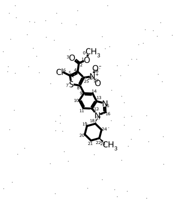 COC(=O)c1c(Cl)sc(-c2ccc3c(c2)ncn3[C@H]2CCC[C@H](C)C2)c1[N+](=O)[O-]